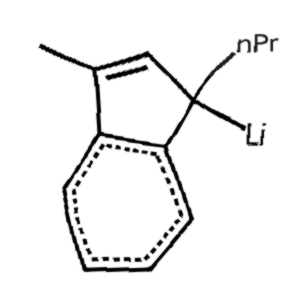 [Li][C]1(CCC)C=C(C)c2ccccc21